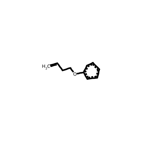 C=CC[CH]Oc1ccccc1